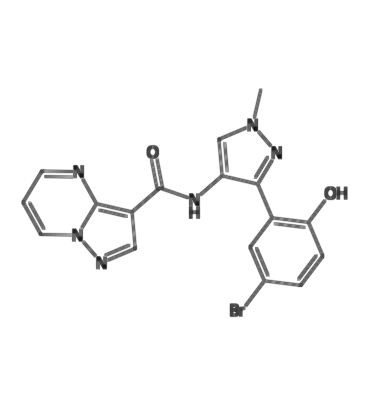 Cn1cc(NC(=O)c2cnn3cccnc23)c(-c2cc(Br)ccc2O)n1